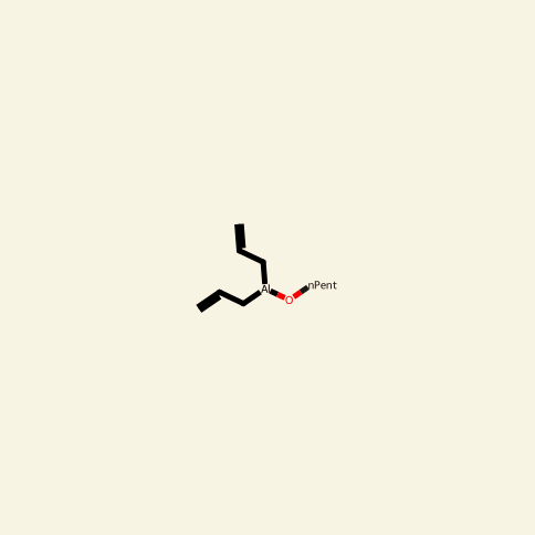 C=C[CH2][Al]([CH2]C=C)[O]CCCCC